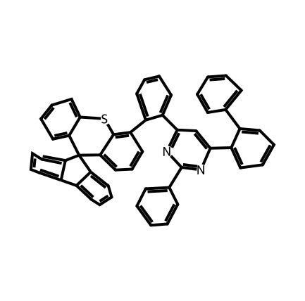 c1ccc(-c2nc(-c3ccccc3-c3ccccc3)cc(-c3ccccc3-c3cccc4c3Sc3ccccc3C43c4ccccc4-c4ccccc43)n2)cc1